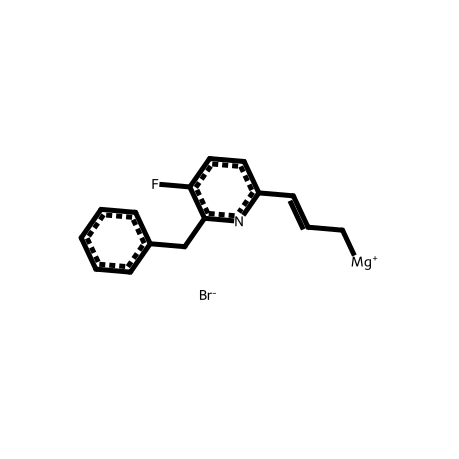 Fc1ccc(C=C[CH2][Mg+])nc1Cc1ccccc1.[Br-]